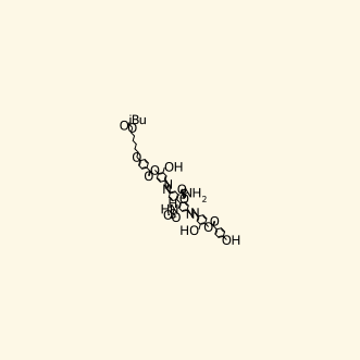 CCC(C)C(=O)OCCCCCCOc1ccc(C(=O)Oc2ccc(N=Nc3ccc(-c4ccc(N=Nc5ccc(OC(=O)c6ccc(O)cc6)c(CO)c5)cc4N[SH](=O)=O)c(S(N)(=O)=O)c3)cc2CO)cc1